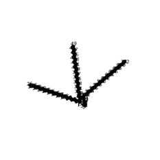 [CH2]Cc1nc(CCCCCCCCCCCCCCCCCCCCCC)c(CCCCCCCCCCCCCCCCCCCCCC)c(CCCCCCCCCCCCCCCCCCCCCC)n1